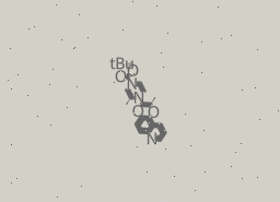 C[C@H](Oc1cccc2ncccc12)C(=O)N1CCN(C(=O)OC(C)(C)C)C[C@H]1C